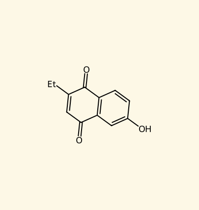 CCC1=CC(=O)c2cc(O)ccc2C1=O